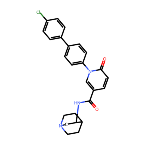 O=C(NC1CN2CCC1CC2)c1ccc(=O)n(-c2ccc(-c3ccc(Cl)cc3)cc2)c1